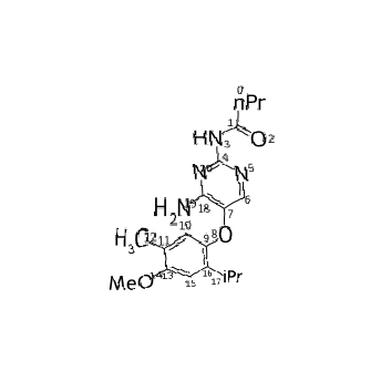 CCCC(=O)Nc1ncc(Oc2cc(C)c(OC)cc2C(C)C)c(N)n1